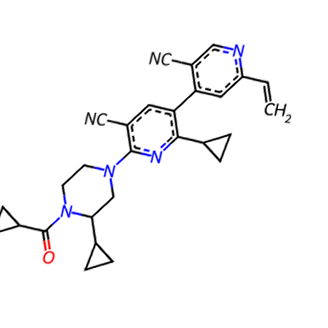 C=Cc1cc(-c2cc(C#N)c(N3CCN(C(=O)C4CC4)C(C4CC4)C3)nc2C2CC2)c(C#N)cn1